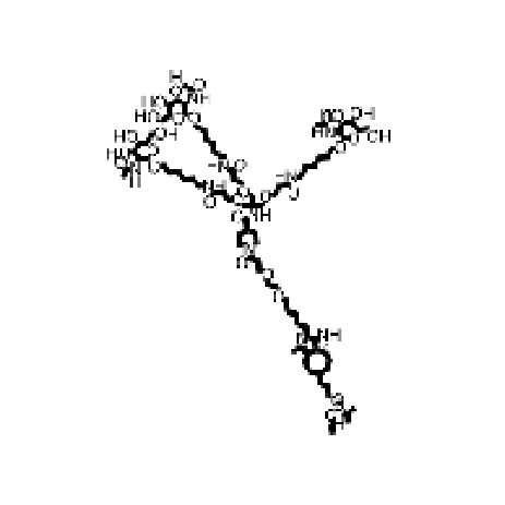 C#CO[PH](OCCCC1CCCC(C(=N)CCC/C=C/COCCOCCC(=O)N2CCC(C(=O)NC(COCCC(=O)NCCCCCCOC3OC(CO)C(O)C(O)C3NC(C)=O)(COCCC(=O)NCCCCCCOC3OC(CO)C(O)C(O)C3NC(C)=O)COCCC(=O)NCCCCCCOC3OC(CO)C(O)C(O)C3NC(C)=O)CC2)/C(=C(/C)N)CC1)=C(C)C